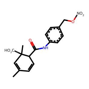 CC1=CC(C)(C(=O)O)C(C(=O)Nc2ccc(CO[N+](=O)[O-])cc2)C=C1